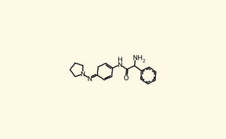 NC(C(=O)NC1=CCC(=NN2CCCC2)C=C1)c1ccccc1